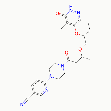 CC[C@H](CO[C@H](C)CC(=O)N1CCN(c2ccc(C#N)cn2)CC1)Oc1cn[nH]c(=O)c1C